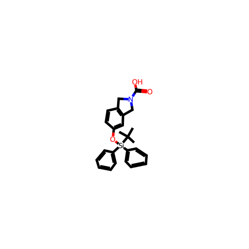 CC(C)(C)[Si](Oc1ccc2c(c1)CN(C(=O)O)C2)(c1ccccc1)c1ccccc1